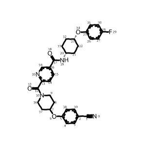 N#Cc1ccc(OC2CCN(C(=O)c3ccc(C(=O)N[C@H]4CC[C@@H](Oc5ccc(F)cc5)CC4)cn3)CC2)cc1